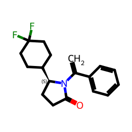 C=C(c1ccccc1)N1C(=O)CC[C@H]1C1CCC(F)(F)CC1